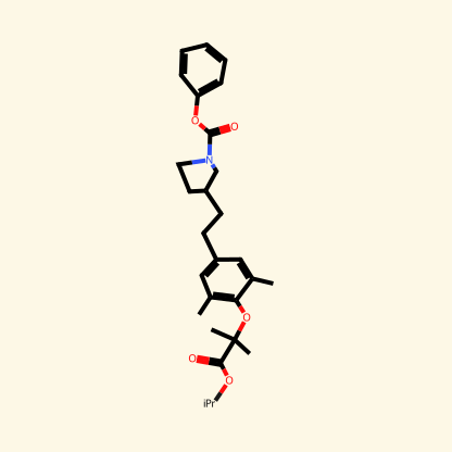 Cc1cc(CCC2CCN(C(=O)Oc3ccccc3)C2)cc(C)c1OC(C)(C)C(=O)OC(C)C